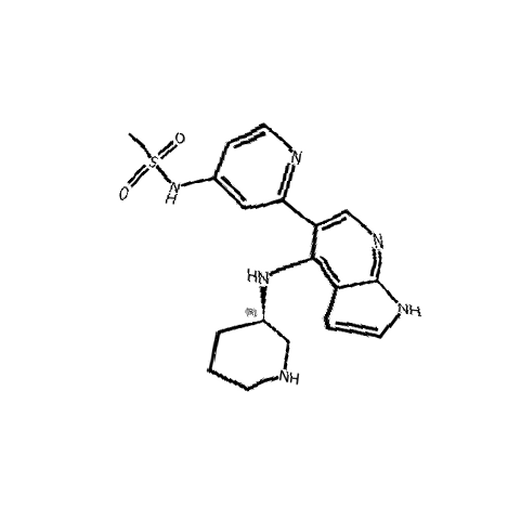 CS(=O)(=O)Nc1ccnc(-c2cnc3[nH]ccc3c2N[C@@H]2CCCNC2)c1